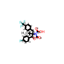 CC(C)(C)C1(Cc2ccc(C(F)(F)F)cc2)C(c2ccc(F)cc2)OC(=O)N1C(=O)O